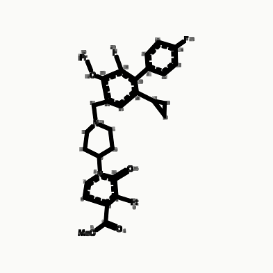 CCc1c(C(=O)OC)ccn(C2CCN(Cc3cc(C4CC4)c(-c4ccc(F)cc4)c(F)c3OC(C)C)CC2)c1=O